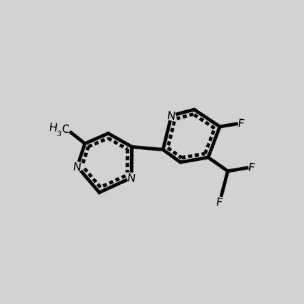 Cc1cc(-c2cc(C(F)F)c(F)cn2)ncn1